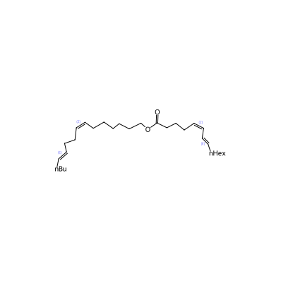 CCCC/C=C/CC/C=C\CCCCCCOC(=O)CCC/C=C\C=C\CCCCCC